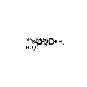 CCCOc1ncc(S(=O)(=O)N2CCN(C)CC2)cc1C(=O)O